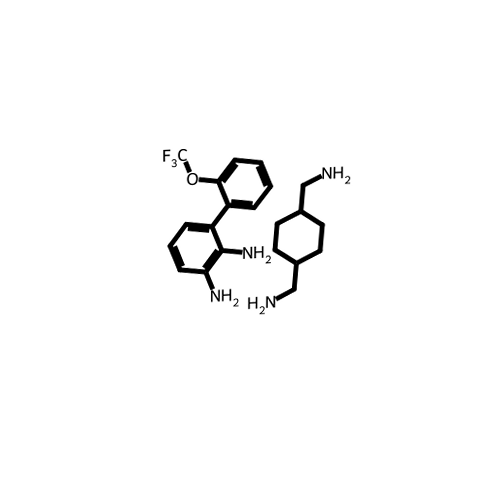 NCC1CCC(CN)CC1.Nc1cccc(-c2ccccc2OC(F)(F)F)c1N